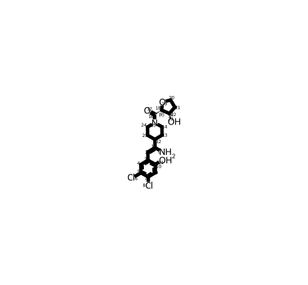 NC(=Cc1cc(Cl)c(Cl)cc1O)C1CCN(C(=O)[C@@H]2OCC[C@@H]2O)CC1